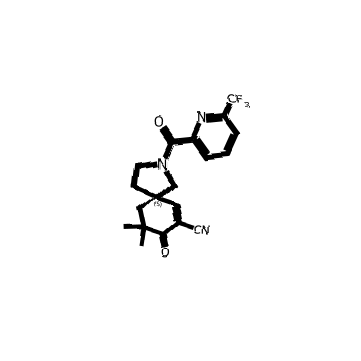 CC1(C)C[C@@]2(C=C(C#N)C1=O)CCN(C(=O)c1cccc(C(F)(F)F)n1)C2